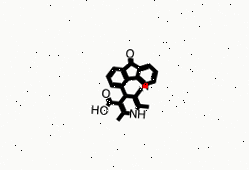 CC1=C(C#N)C(c2cccc3c2-c2ccccc2C3=O)C(C(=O)O)=C(C)N1